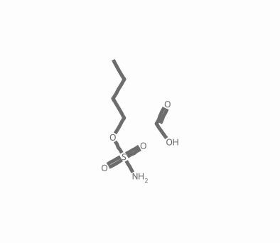 CCCCOS(N)(=O)=O.O=CO